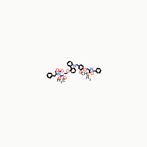 COc1cc(Cn2c3ccccc3c3c(OCC[C@H](OC)C(=O)N4C(=O)OCC4Cc4ccccc4)cccc32)ccc1OCc1nc(-c2ccccc2)oc1C